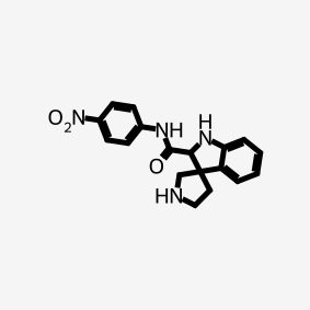 O=C(Nc1ccc([N+](=O)[O-])cc1)C1Nc2ccccc2C12CCNC2